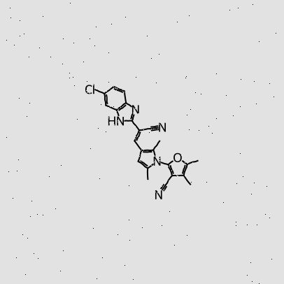 Cc1oc(-n2c(C)cc(/C=C(\C#N)c3nc4ccc(Cl)cc4[nH]3)c2C)c(C#N)c1C